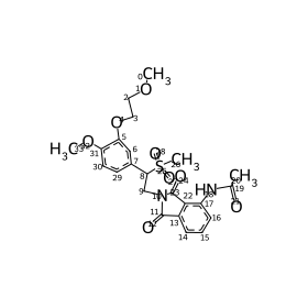 COCCOc1cc(C(CN2C(=O)c3cccc(NC(C)=O)c3C2=O)S(C)(=O)=O)ccc1OC